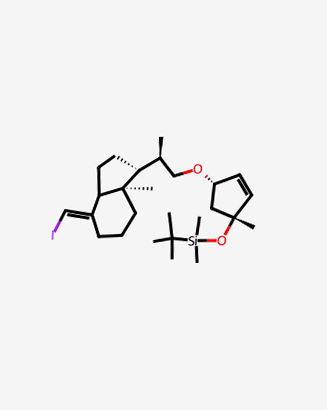 C[C@@H](CO[C@@H]1C=C[C@](C)(O[Si](C)(C)C(C)(C)C)C1)[C@H]1CCC2/C(=C/I)CCC[C@@]21C